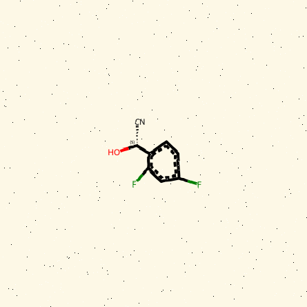 N#C[C@@H](O)c1ccc(F)cc1F